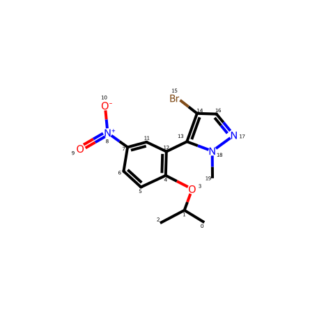 CC(C)Oc1ccc([N+](=O)[O-])cc1-c1c(Br)cnn1C